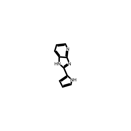 c1c[nH]c(-c2nc3ncccc3[nH]2)c1